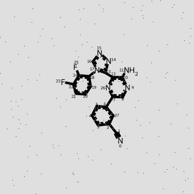 N#Cc1cccc(-c2cnc(N)c(-c3nncn3-c3cccc(F)c3F)n2)c1